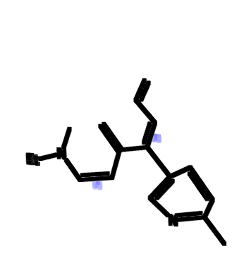 C=C/C=C(\C(=C)/C=C\N(C)CC)c1ccc(C)nc1